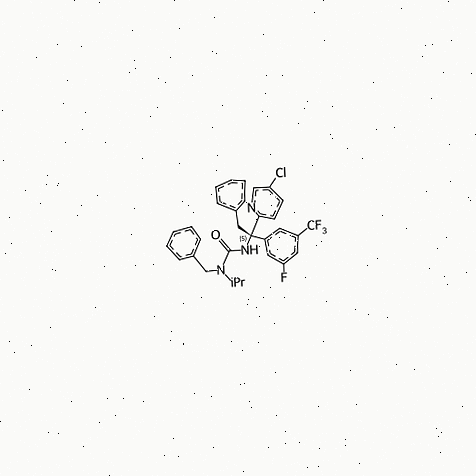 CC(C)N(Cc1ccccc1)C(=O)N[C@@](Cc1ccccc1)(c1cc(F)cc(C(F)(F)F)c1)c1ccc(Cl)cn1